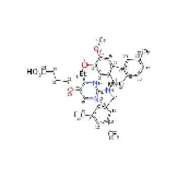 CCOc1cc(CN(Cc2cc(C(F)(F)F)cc(C(F)(F)F)c2)c2ncc(OCCCC(=O)O)cn2)c(-c2cc(C(C)C)ccc2OC)cc1OCC